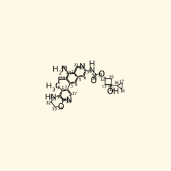 Cc1c(-c2cc3cc(NC(=O)OC4CC(O)(C5CC5)C4)ncc3c(N)c2F)cnc2c1NCCO2